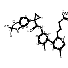 COC(=O)CCCc1ncc(C)cc1-c1nc(NC(=O)C2(c3ccc4c(c3)OC(F)(F)O4)CC2)ccc1C